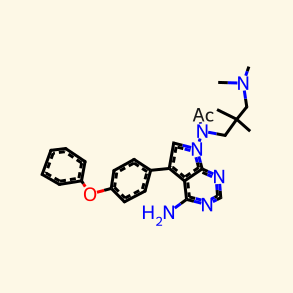 CC(=O)N(CC(C)(C)CN(C)C)n1cc(-c2ccc(Oc3ccccc3)cc2)c2c(N)ncnc21